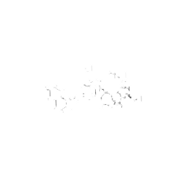 CCOC(=O)c1c(CCCOc2cccc3cc(F)ccc23)c2ccc(Cl)c3c2n1CCCNCc1nn(C)c(CC)c1-3